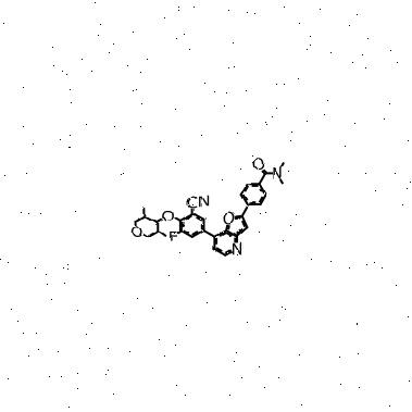 CC1COCC(C)C1Oc1c(F)cc(-c2ccnc3cc(-c4ccc(C(=O)N(C)C)cc4)oc23)cc1C#N